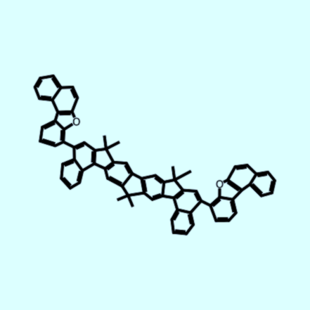 CC1(C)c2cc3c(cc2-c2cc4c(cc21)-c1c(cc(-c2cccc5c2oc2ccc6ccccc6c25)c2ccccc12)C4(C)C)C(C)(C)c1cc(-c2cccc4c2oc2ccc5ccccc5c24)c2ccccc2c1-3